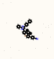 N#Cc1ccc(-c2ccc3c(c2)C2(c4cc(-c5cc(-c6ccc(-c7ccccc7)cc6)nc(-c6ccccc6)n5)ccc4S3)c3ccccc3-c3ccccc32)cc1